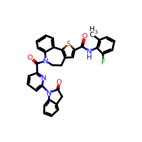 Cc1cccc(F)c1NC(=O)c1cc2c(s1)-c1ccccc1N(C(=O)c1cccc(N3C(=O)Cc4ccccc43)n1)CC2